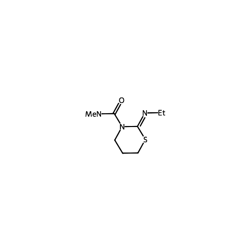 CC/N=C1\SCCCN1C(=O)NC